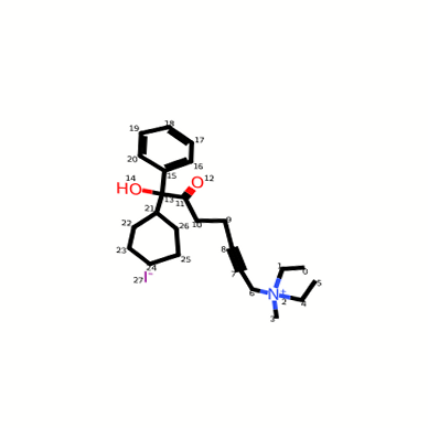 CC[N+](C)(CC)CC#CCCC(=O)C(O)(c1ccccc1)C1CCCCC1.[I-]